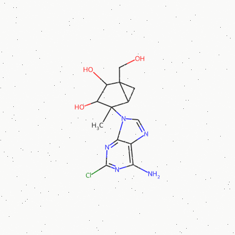 CC1(n2cnc3c(N)nc(Cl)nc32)C(O)C(O)C2(CO)CC21